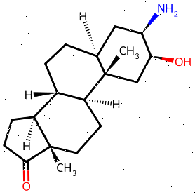 C[C@]12C[C@H](O)[C@H](N)C[C@@H]1CC[C@@H]1[C@@H]2CC[C@]2(C)C(=O)CC[C@@H]12